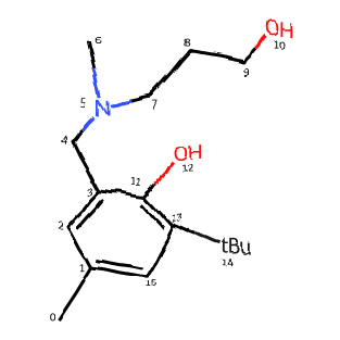 Cc1cc(CN(C)CCCO)c(O)c(C(C)(C)C)c1